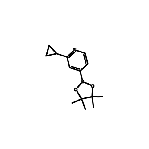 CC1(C)OB(c2ccnc(C3CC3)c2)OC1(C)C